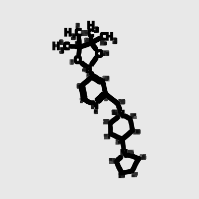 CC1(C)OB(c2ccnc(CN3CCC(N4CCCC4)CC3)c2)OC1(C)C